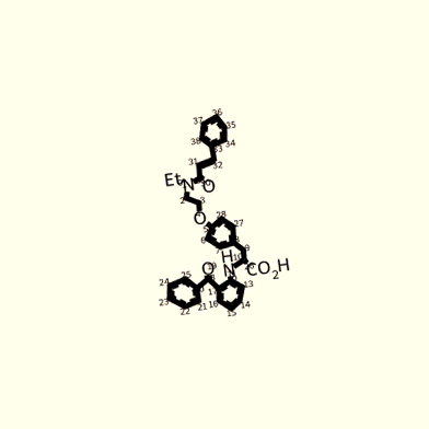 CCN(CCOc1ccc(CC(Nc2ccccc2C(=O)c2ccccc2)C(=O)O)cc1)C(=O)C=Cc1ccccc1